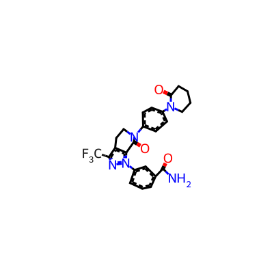 NC(=O)c1cccc(-n2nc(C(F)(F)F)c3c2C(=O)N(c2ccc(N4CCCCC4=O)cc2)CC3)c1